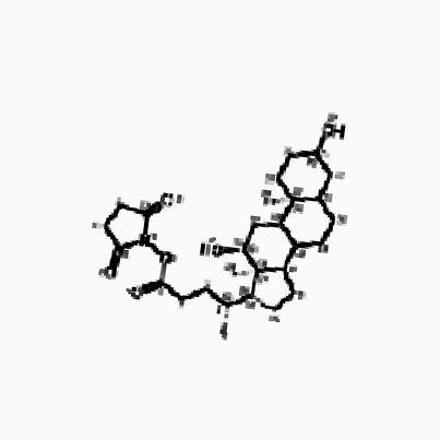 C[C@H](CCC(=O)ON1C(=O)CCC1=O)[C@H]1CCC2C3CCC4C[C@H](O)CC[C@]4(C)C3C[C@H](O)[C@@]21C